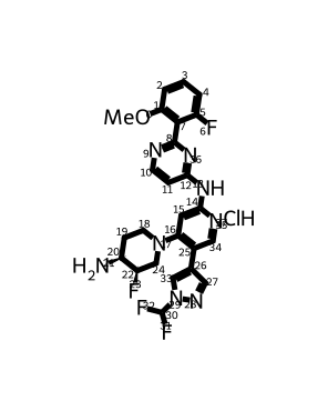 COc1cccc(F)c1-c1nccc(Nc2cc(N3CC[C@H](N)[C@H](F)C3)c(-c3cnn(C(F)F)c3)cn2)n1.Cl